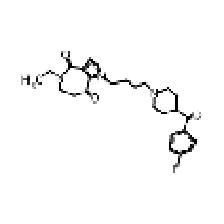 CCN1CCC(=O)c2c(ccn2CCCCN2CCC(C(=O)c3ccc(F)cc3)CC2)C1=O